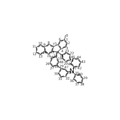 Cc1ccc2c(c1)-c1cc3ccccc3cc1C2(c1ccccc1)c1cccc(-c2cccc(N(c3ccccc3)c3ccccc3)c2)c1